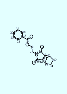 O=C(OCCN1C(=O)C2C3CCC(O3)C2C1=O)c1ccccc1